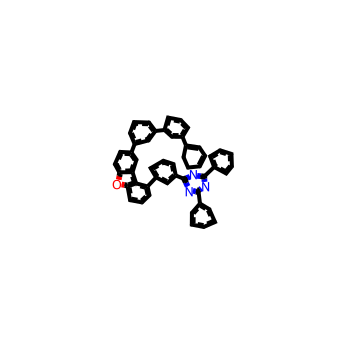 C1=CCCC(c2cccc(-c3cccc(-c4ccc5oc6cccc(-c7cccc(-c8nc(-c9ccccc9)nc(-c9ccccc9)n8)c7)c6c5c4)c3)c2)=C1